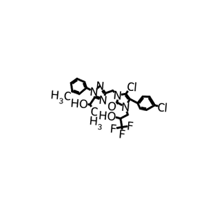 Cc1cccc(-n2nc(Cn3c(Cl)c(-c4ccc(Cl)cc4)n(CC(O)C(F)(F)F)c3=O)nc2C(C)O)c1